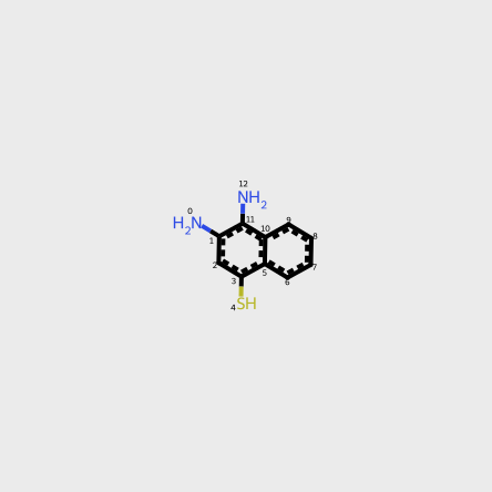 Nc1cc(S)c2ccccc2c1N